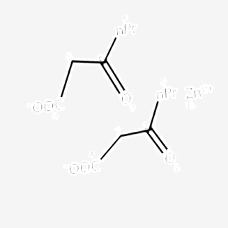 CCCC(=O)CC(=O)[O-].CCCC(=O)CC(=O)[O-].[Zn+2]